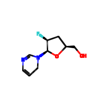 OC[C@@H]1C[C@H](F)[C@H](N2C=NC=CC2)O1